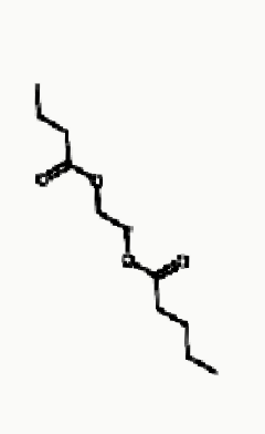 CCCCC(=O)O[CH]COC(=O)CCC